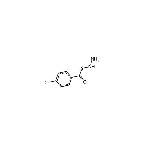 NNSC(=O)c1ccc(Cl)cc1